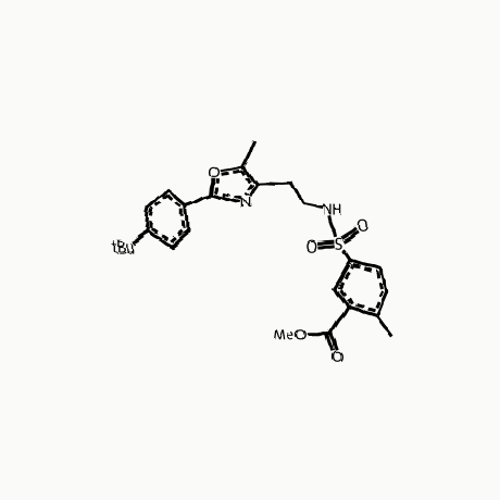 COC(=O)c1cc(S(=O)(=O)NCCc2nc(-c3ccc(C(C)(C)C)cc3)oc2C)ccc1C